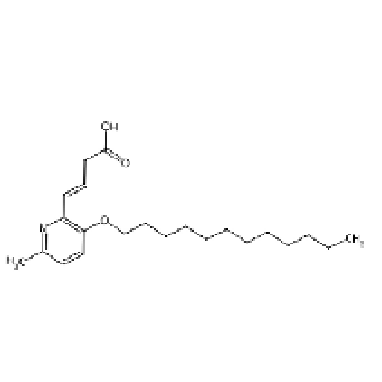 CCCCCCCCCCCCOc1ccc(C)nc1C=CCC(=O)O